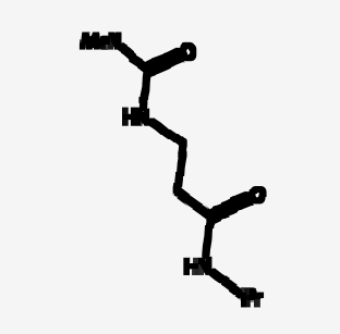 CNC(=O)NCCC(=O)NC(C)C